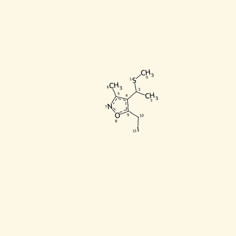 CSC(C)c1c(C)noc1CI